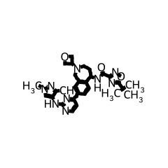 Cc1nn(C)cc1Nc1nccc(-c2ccc3c(c2)CN(C2COC2)CCC3NC(=O)c2noc(C(C)(C)C)n2)n1